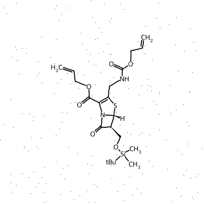 C=CCOC(=O)NCC1=C(C(=O)OCC=C)N2C(=O)[C@H](CO[Si](C)(C)C(C)(C)C)[C@H]2S1